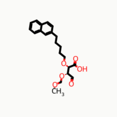 COCO[C@@H](C=O)[C@@H](OCCCCCc1ccc2ccccc2c1)C(=O)O